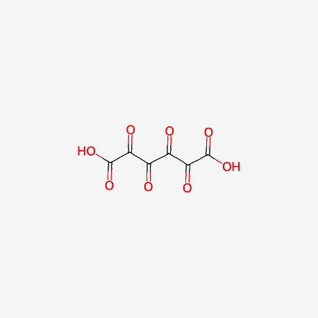 O=C(O)C(=O)C(=O)C(=O)C(=O)C(=O)O